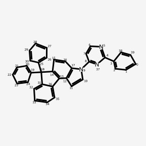 c1ccc(-c2nccc(-n3ccc4c5c(ccc43)C(c3ccccc3)(c3ccccc3)c3ccccc3-5)n2)cc1